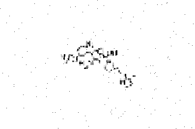 COc1ccc2ncc(Cl)c([C@@H](N)CC[C@H]3CCN(CCSc4ncccc4F)C[C@H]3C(=O)O)c2c1